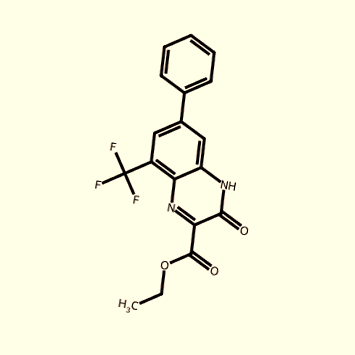 CCOC(=O)c1nc2c(C(F)(F)F)cc(-c3ccccc3)cc2[nH]c1=O